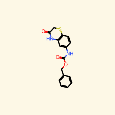 O=C1CSc2ccc(NC(=O)OCc3ccccc3)cc2N1